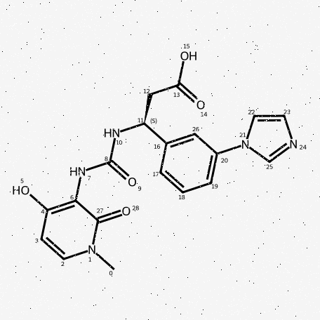 Cn1ccc(O)c(NC(=O)N[C@@H](CC(=O)O)c2cccc(-n3ccnc3)c2)c1=O